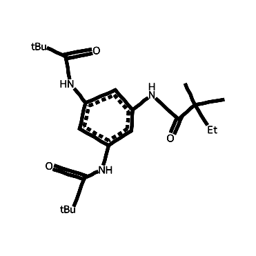 CCC(C)(C)C(=O)Nc1cc(NC(=O)C(C)(C)C)cc(NC(=O)C(C)(C)C)c1